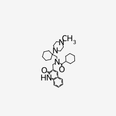 CN1CCN(C2(CN(Cc3cc4ccccc4[nH]c3=O)C(=O)C3CCCCC3)CCCCC2)CC1